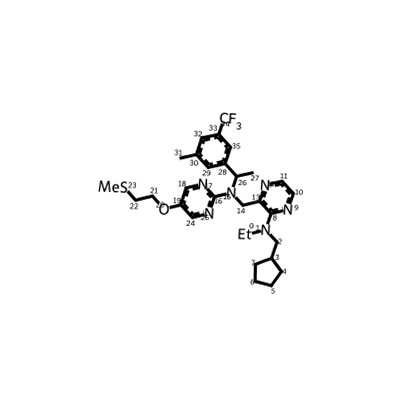 CCN(CC1CCCC1)c1nccnc1CN(c1ncc(OCCSC)cn1)C(C)c1cc(C)cc(C(F)(F)F)c1